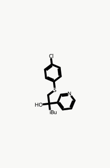 CCC(C)C(O)(CSc1ccc(Cl)cc1)c1cccnc1